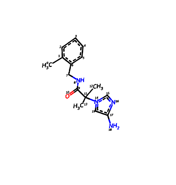 Cc1ccccc1CNC(=O)C(C)(C)n1cnc(N)c1